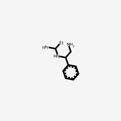 CCCC(CC)NC(CN)c1ccccc1